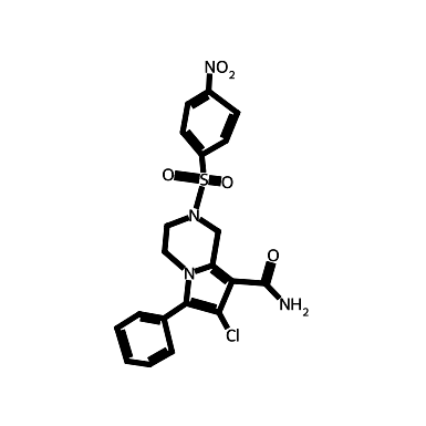 NC(=O)c1c(Cl)c(-c2ccccc2)n2c1CN(S(=O)(=O)c1ccc([N+](=O)[O-])cc1)CC2